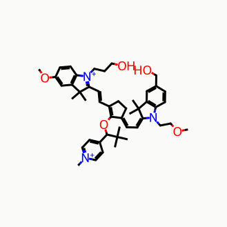 COCCN1/C(=C/C=C2\CCC(/C=C/C3=[N+](CCCO)c4ccc(OC)cc4C3(C)C)=C2OC(c2cc[n+](C)cc2)C(C)(C)C)C(C)(C)c2cc(CO)ccc21